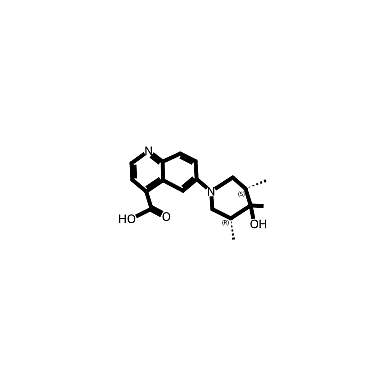 C[C@@H]1CN(c2ccc3nccc(C(=O)O)c3c2)C[C@H](C)C1(C)O